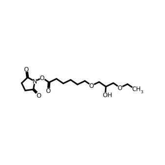 CCOCC(O)COCCCCCC(=O)ON1C(=O)CCC1=O